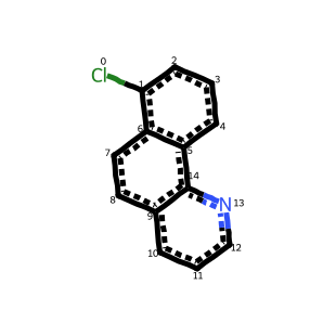 Clc1cccc2c1ccc1cccnc12